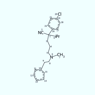 CC(C)C(C#N)(CCCN(C)CCc1ccccc1)c1ccc(Cl)cc1